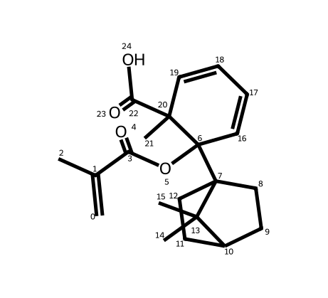 C=C(C)C(=O)OC1(C23CCC(CC2)C3(C)C)C=CC=CC1(C)C(=O)O